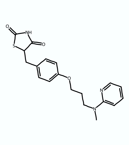 CN(CCCOc1ccc(CC2SC(=O)NC2=O)cc1)c1ccccn1